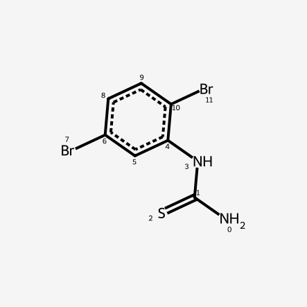 NC(=S)Nc1cc(Br)ccc1Br